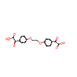 O=C(O)C(=O)c1ccc(OCCOc2ccc(C(=O)C(=O)O)cc2)cc1